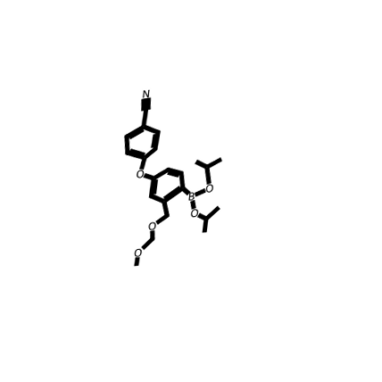 COCOCc1cc(Oc2ccc(C#N)cc2)ccc1B(OC(C)C)OC(C)C